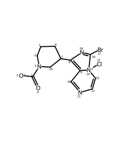 O=C([O-])N1CCCC(C2=C3C=NC=C[N+]3(Cl)C(Br)=N2)C1